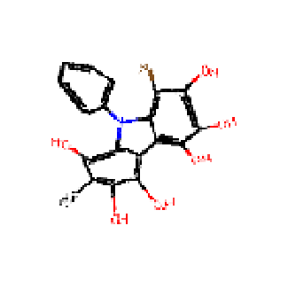 Bc1c(O)c(O)c2c3c(O)c(O)c(O)c(Br)c3n(-c3ccccc3)c2c1O